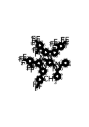 Cc1cc(C(F)(F)F)ccc1-c1ccc2c(c1)c1cc(-c3ccc(C(F)(F)F)cc3C(F)(F)F)ccc1n2-c1cc(-c2nc(-c3ccccc3)cc(-c3ccccc3)n2)cc(-n2c3ccc(-c4ccc(C(F)(F)F)cc4C(F)(F)F)cc3c3cc(-c4ccc(C(F)(F)F)cc4C(F)(F)F)ccc32)c1C#N